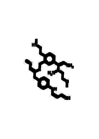 C=N/C=C(/Cc1ccc(N/C=C\C=N)cc1)SCc1cc(/C(=C/N)N(N)CCOC)ccc1CCNC